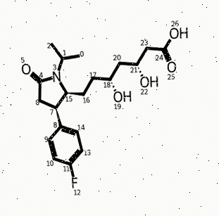 CC(C)N1C(=O)C[C@H](c2ccc(F)cc2)[C@@H]1CC[C@@H](O)C[C@@H](O)CC(=O)O